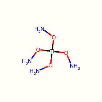 N[O][Ti]([O]N)([O]N)[O]N